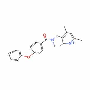 CC1=CC(C)=C(CN(C)C(=O)c2ccc(Oc3ccccc3)cc2)C(C)N1